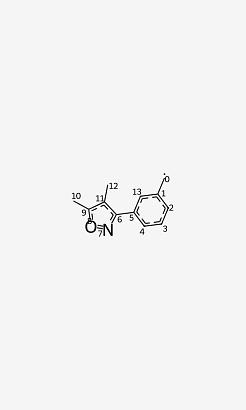 [CH2]c1cccc(-c2noc(C)c2C)c1